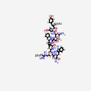 CNC(=N)NCCC[C@H](NC(=O)[C@H](CC1CC1)NC(=O)CNC(=O)[C@H](CC1CCCCC1)NC(=O)[C@@H](NC(=O)[C@H](CC(N)=O)NC(=O)[C@@H]1C[C@@H](O)CN1C(=O)[C@@H](Cc1ccc(O)cc1)NC(C)=O)[C@@H](C)O)C(=O)N[C@@H](Cc1c[nH]c2ccccc12)C(N)=O